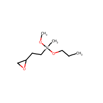 CCCO[Si](C)(CCC1CO1)OC